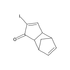 O=C1C(I)=CC2C3C=CC(C3)C12